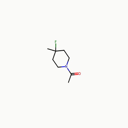 CC(=O)N1CCC(C)(F)CC1